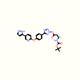 C[C@@H](CC(=O)On1nnc(-c2ccc(Oc3ccc(-c4ccn[nH]4)cn3)cc2)n1)NC(=O)OC(C)(C)C